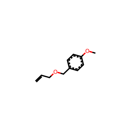 C=CCOCc1ccc(OC)cc1